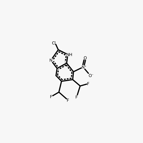 O=[N+]([O-])c1c(C(F)F)c(C(F)F)cc2nc(Cl)[nH]c12